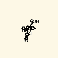 Cc1ccc2c(c1)c(C=CC(=O)O)c1n2CC(NC(=O)c2ccc(-n3cnnc3)cc2Cl)(c2ccccc2)CC1